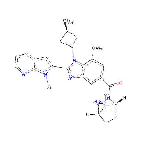 CCn1c(-c2nc3cc(C(=O)N4C[C@H]5CC[C@@H]4[C@@H]5N)cc(OC)c3n2[C@H]2C[C@H](OC)C2)cc2cccnc21